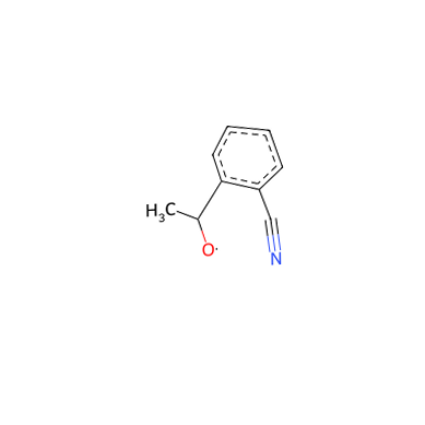 CC([O])c1ccccc1C#N